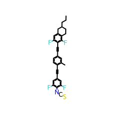 CCCC1CCc2c(cc(F)c(C#Cc3ccc(C#Cc4cc(F)c(N=C=S)c(F)c4)c(C)c3)c2F)C1